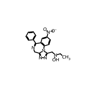 CCN(O)Cc1nnc2n1-c1ccc([N+](=O)[O-])cc1C(c1ccccc1)=NC2